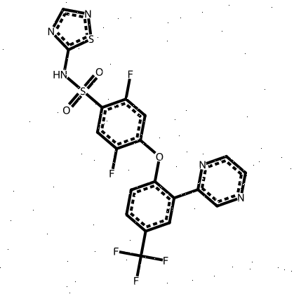 O=S(=O)(Nc1ncns1)c1cc(F)c(Oc2ccc(C(F)(F)F)cc2-c2cnccn2)cc1F